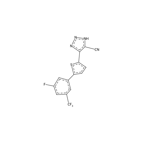 N#Cc1[nH]nnc1-c1ccc(-c2cc(F)cc(C(F)(F)F)c2)s1